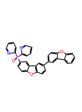 O=P(c1ccc2oc3ccc(-c4ccc5oc6ccccc6c5c4)cc3c2c1)(c1ccccn1)c1ccccn1